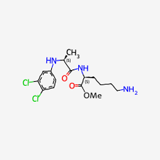 COC(=O)[C@H](CCCCN)NC(=O)[C@H](C)Nc1ccc(Cl)c(Cl)c1